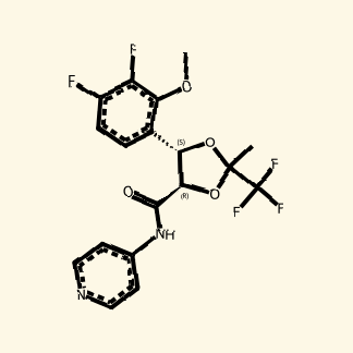 COc1c([C@@H]2OC(C)(C(F)(F)F)O[C@H]2C(=O)Nc2ccncc2)ccc(F)c1F